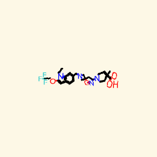 CCn1c(OCC(F)(F)F)cc2ccc(CN3CC4(CC(N5CCC(C)(C(=O)O)CC5)=NO4)C3)cc21